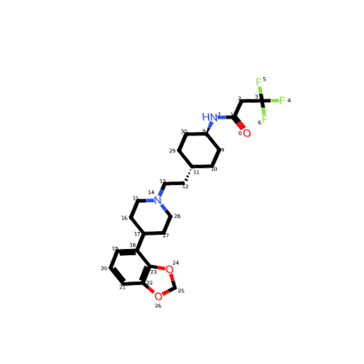 O=C(CC(F)(F)F)N[C@H]1CC[C@H](CCN2CCC(c3cccc4c3OCO4)CC2)CC1